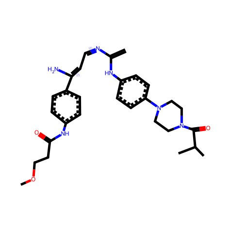 C=C(/N=C\C=C(/N)c1ccc(NC(=O)CCOC)cc1)Nc1ccc(N2CCN(C(=O)C(C)C)CC2)cc1